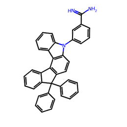 N=C(N)c1cccc(-n2c3ccccc3c3c4c(ccc32)C(c2ccccc2)(c2ccccc2)c2ccccc2-4)c1